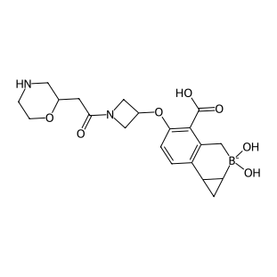 O=C(O)c1c(OC2CN(C(=O)CC3CNCCO3)C2)ccc2c1C[B-](O)(O)C1CC21